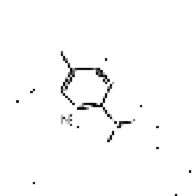 Cc1ccc(N(C)C)cc1.[N]